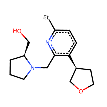 CCc1ccc([C@H]2CCOC2)c(CN2CCC[C@H]2CO)n1